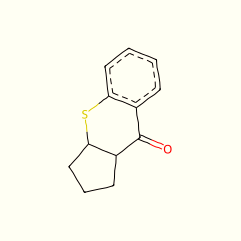 O=C1c2ccccc2SC2CCCC12